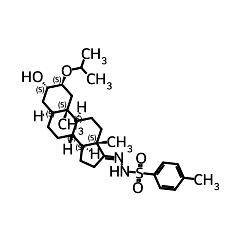 Cc1ccc(S(=O)(=O)NN=C2CC[C@H]3[C@@H]4CC[C@H]5C[C@H](O)[C@@H](OC(C)C)C[C@]5(C)[C@H]4CC[C@]23C)cc1